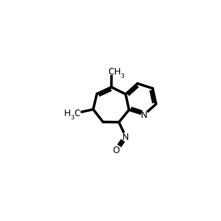 CC1=CC(C)CC(N=O)c2ncccc21